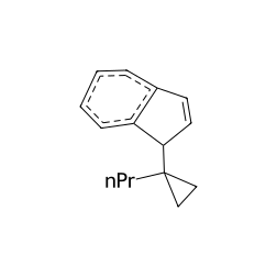 CCCC1(C2C=Cc3ccccc32)CC1